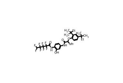 CCCC(Oc1ccc(C(C)(C)CC)cc1C(C)(C)CC)C(=O)Nc1ccc(NC(=O)C(F)(F)C(F)(F)C(F)(F)C(F)F)c(O)c1